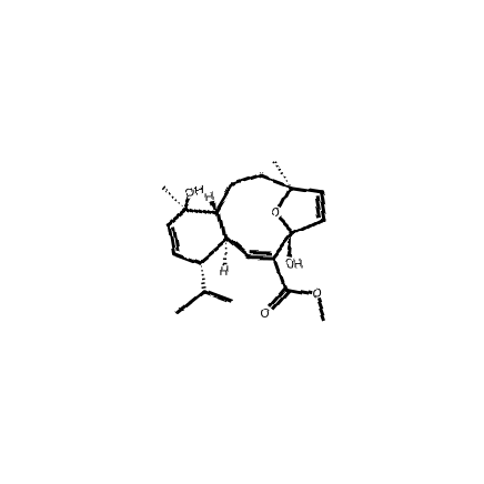 COC(=O)/C1=C/[C@@H]2[C@@H](C[C][C@@]3(C)C=C[C@@]1(O)O3)[C@](C)(O)C=C[C@H]2C(C)C